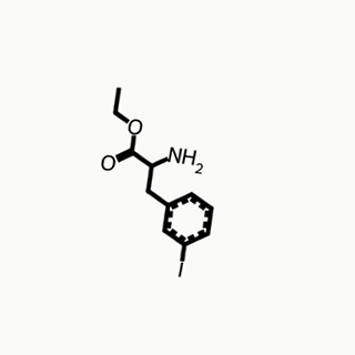 CCOC(=O)C(N)Cc1cccc(I)c1